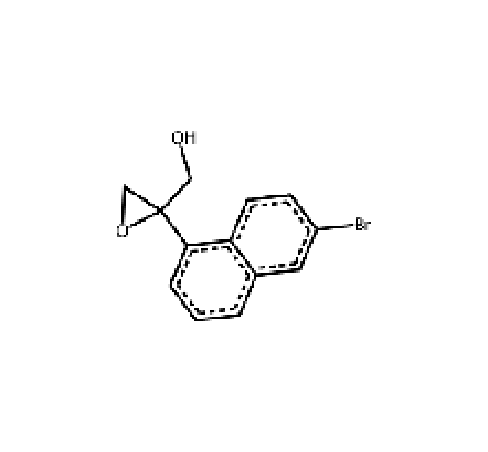 OCC1(c2cccc3cc(Br)ccc23)CO1